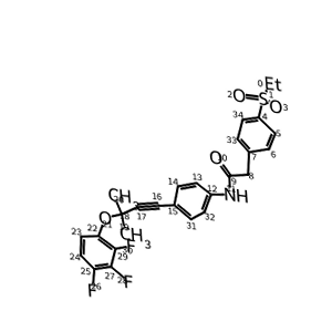 CCS(=O)(=O)c1ccc(CC(=O)Nc2ccc(C#CC(C)(C)Oc3ccc(F)c(F)c3F)cc2)cc1